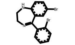 Brc1ccc2c(c1)C(c1ccccc1Br)=NCCN2